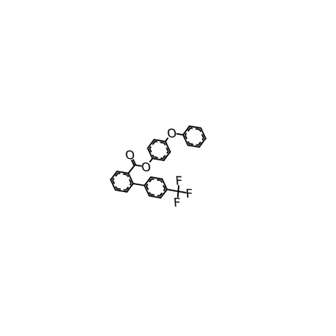 O=C(Oc1ccc(Oc2ccccc2)cc1)c1ccccc1-c1ccc(C(F)(F)F)cc1